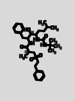 CC(C)CCC(NC(=O)NC(C)(C)C)[C@H](O)C(Cc1ccccc1)NC(=O)[C@H](C)CS(=O)(=O)CCc1ccccc1